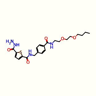 CCCCOCCOCCNC(=O)c1ccc(CNC(=O)c2ccc(C(=O)NN)s2)cc1